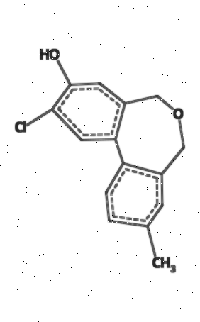 Cc1ccc2c(c1)COCc1cc(O)c(Cl)cc1-2